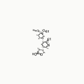 CCOc1cc(-c2cc([C@@H]3COB(O)C3)cnc2CC)ccc1OC